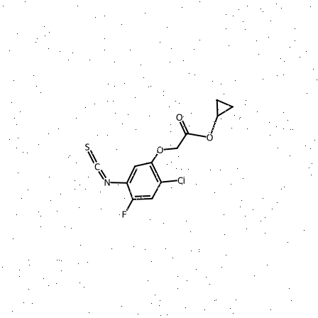 O=C(COc1cc(N=C=S)c(F)cc1Cl)OC1CC1